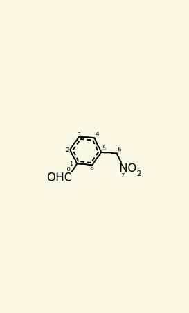 O=Cc1cccc(C[N+](=O)[O-])c1